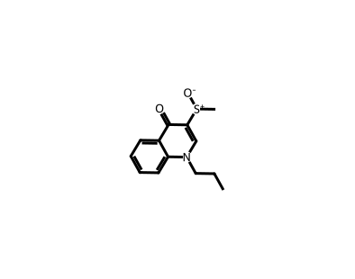 CCCn1cc([S+](C)[O-])c(=O)c2ccccc21